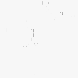 C=CC(N1CCOCC1)S(=O)(=O)c1ccc(NC(=O)c2cc(Cl)ccc2NS(=O)(=O)c2ccc(C(F)(F)F)cc2)cc1